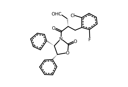 O=CC[C@H](Cc1c(F)cccc1Cl)C(=O)N1C(=O)O[C@H](c2ccccc2)[C@@H]1c1ccccc1